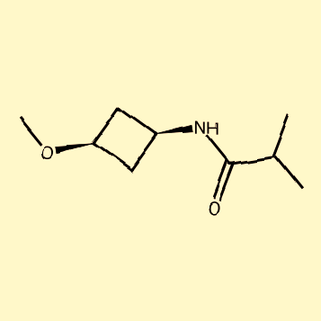 CO[C@H]1C[C@@H](NC(=O)C(C)C)C1